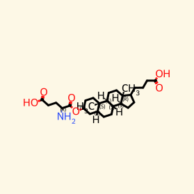 C[C@]12CC[C@H](OC(=O)[C@H](N)CCC(=O)O)C[C@H]1CC[C@@H]1[C@@H]2CC[C@]2(C)C(CCCC(=O)O)CC[C@@H]12